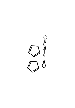 C1=CCC=C1.C1=CCC=C1.O=[C]=[Ti]=[C]=O